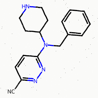 N#Cc1ccc(N(Cc2ccccc2)C2CCNCC2)nn1